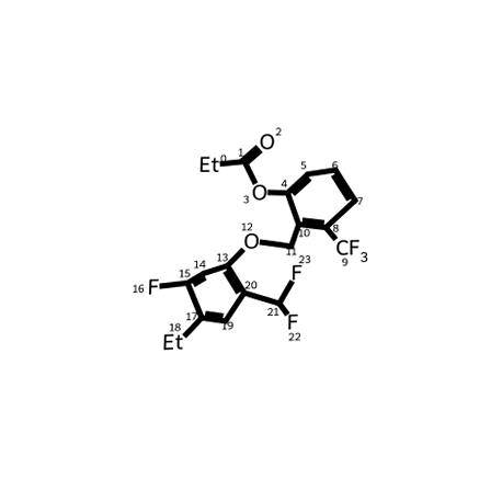 CCC(=O)Oc1cccc(C(F)(F)F)c1COc1cc(F)c(CC)cc1C(F)F